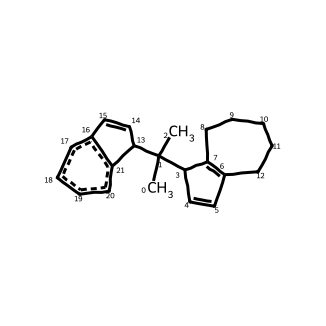 CC(C)(C1C=CC2=C1CCCCC2)C1C=Cc2ccccc21